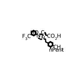 CCCCCc1cc(CCN2CCN(c3cccc(C(F)(F)F)c3)CC2)ccc1C.O=C(O)/C=C/C(=O)O